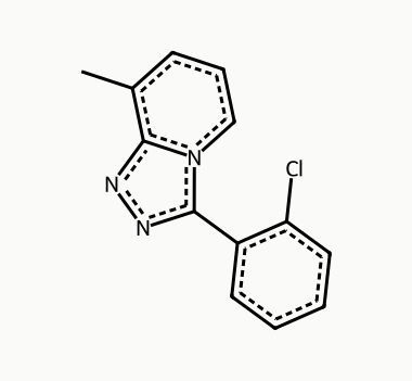 Cc1cccn2c(-c3ccccc3Cl)nnc12